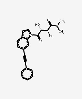 CN(C)C(=O)[C@H](O)[C@@H](O)C(=O)n1ccc2ccc(C#Cc3ccccc3)cc21